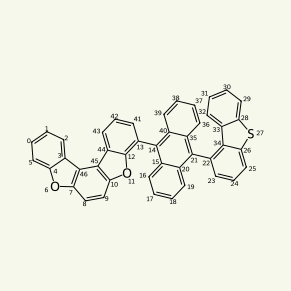 c1ccc2c(c1)oc1ccc3oc4c(-c5c6ccccc6c(-c6cccc7sc8ccccc8c67)c6ccccc56)cccc4c3c12